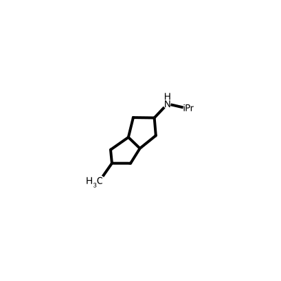 CC1CC2CC(NC(C)C)CC2C1